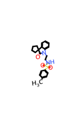 Cc1ccc(S(=O)(=O)NCCN2C(=O)C3(CCCC3)c3ccccc32)cc1